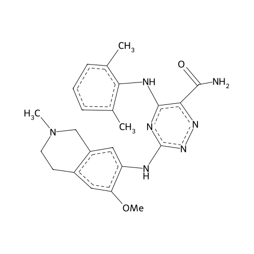 COc1cc2c(cc1Nc1nnc(C(N)=O)c(Nc3c(C)cccc3C)n1)CN(C)CC2